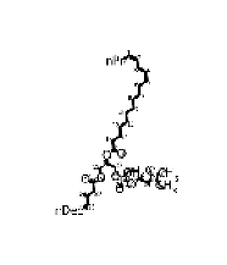 CCC/C=C\C/C=C\CCCCCCCCCC(=O)O[C@H](COC(=O)CCCCCCCCCCCCC)COP(=O)(O)OCC[N+](C)(C)C